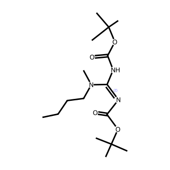 CCCCN(C)/C(=N\C(=O)OC(C)(C)C)NC(=O)OC(C)(C)C